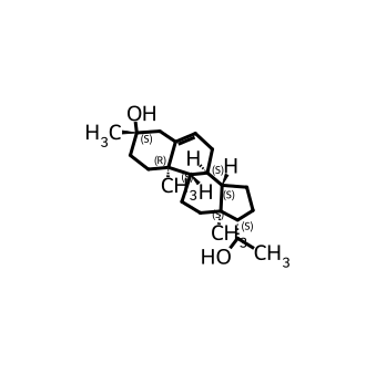 CC(O)[C@H]1CC[C@H]2[C@@H]3CC=C4C[C@@](C)(O)CC[C@]4(C)[C@H]3CC[C@]12C